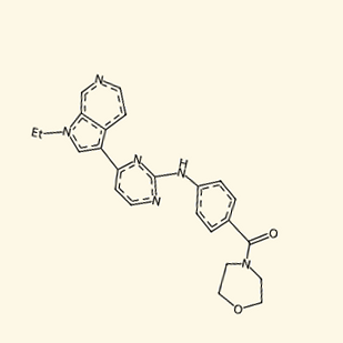 CCn1cc(-c2ccnc(Nc3ccc(C(=O)N4CCOCC4)cc3)n2)c2ccncc21